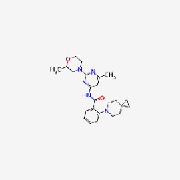 Cc1cc(NC(=O)c2ccccc2N2CCC3(CC2)CC3)nc(N2CCOC(C)C2)n1